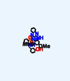 COc1cc(Nc2nc3ccccc3nc2NS(=O)(=O)c2ccccc2NCc2cccc(O)c2)cc(OC)c1